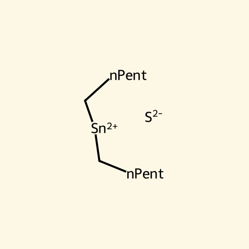 CCCCC[CH2][Sn+2][CH2]CCCCC.[S-2]